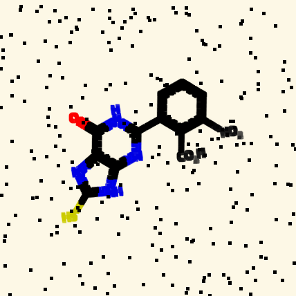 O=C(O)c1c(-c2nc3[nH]c(S)nc3c(=O)[nH]2)cccc1[N+](=O)[O-]